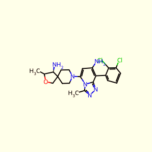 Cc1nnc2c(-c3cccc(Cl)c3Cl)c(N)cc(N3CCC4(CC3)COC(C)[C@H]4N)n12